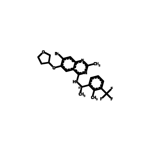 Cc1nc(N[C@H](C)c2cccc(C(F)(F)F)c2C)c2cc(OC3CCOC3)c(Br)cc2n1